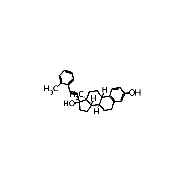 Cc1ccccc1C=C[C@@]1(O)CC[C@H]2[C@@H]3CCc4cc(O)ccc4[C@H]3CC[C@@]21C